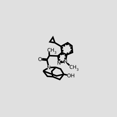 CC(C(=O)N1C2CC3CC1CC(O)(C3)C2)c1nn(C)c2cccc(C3CC3)c12